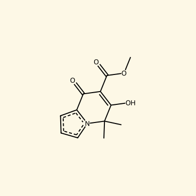 COC(=O)C1=C(O)C(C)(C)n2cccc2C1=O